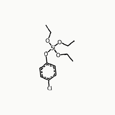 CCO[Si](OCC)(OCC)Oc1ccc(Cl)cc1